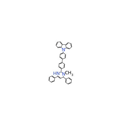 CN1C(c2ccccc2)C=C(c2ccccc2)NC1c1ccc(-c2ccc(-n3c4ccccc4c4ccccc43)cc2)cc1